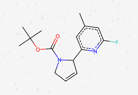 Cc1cc(F)nc(C2C=CCN2C(=O)OC(C)(C)C)c1